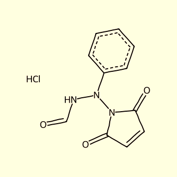 Cl.O=CNN(c1ccccc1)N1C(=O)C=CC1=O